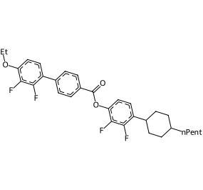 CCCCCC1CCC(c2ccc(OC(=O)c3ccc(-c4ccc(OCC)c(F)c4F)cc3)c(F)c2F)CC1